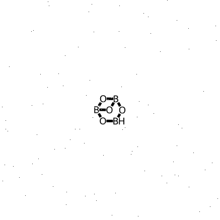 B1OB2OB(O1)O2